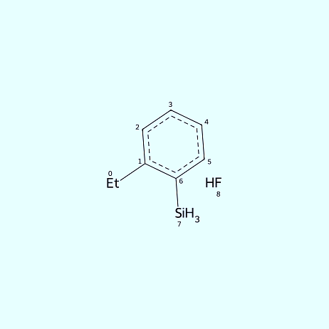 CCc1ccccc1[SiH3].F